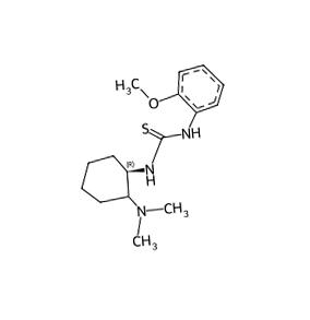 COc1ccccc1NC(=S)N[C@@H]1CCCCC1N(C)C